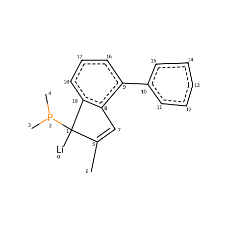 [Li][C]1(P(C)C)C(C)=Cc2c(-c3ccccc3)cccc21